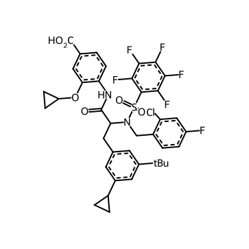 CC(C)(C)c1cc(CC(C(=O)Nc2ccc(C(=O)O)cc2OC2CC2)N(Cc2ccc(F)cc2Cl)S(=O)(=O)c2c(F)c(F)c(F)c(F)c2F)cc(C2CC2)c1